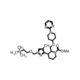 COC(=O)N1CCCC(c2nn(COCC[Si](C)(C)C)cc2C)C1COC1CCN(c2ncccn2)CC1